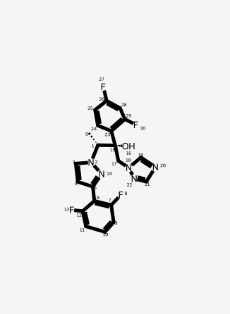 C[C@@H](n1ccc(-c2c(F)cccc2F)n1)[C@](O)(Cn1cncn1)c1ccc(F)cc1F